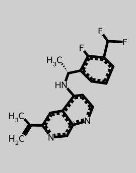 C=C(C)c1cc2c(N[C@H](C)c3cccc(C(F)F)c3F)ccnc2cn1